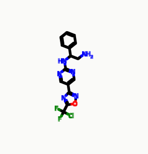 NCC(Nc1ncc(-c2noc(C(F)(F)Cl)n2)cn1)c1ccccc1